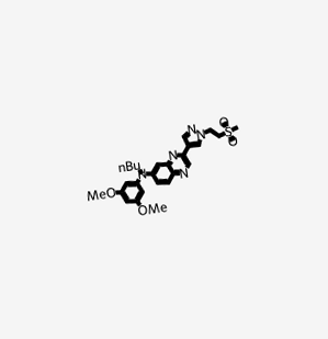 CCCCN(c1cc(OC)cc(OC)c1)c1ccc2ncc(-c3cnn(CCS(C)(=O)=O)c3)nc2c1